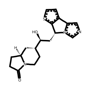 O=C1CC[C@H]2C[C@H]([C@@H](O)C[C@@H]3c4sccc4-c4cncn43)CCN12